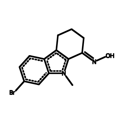 Cn1c2c(c3ccc(Br)cc31)CCCC2=NO